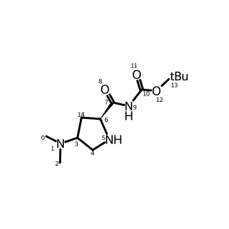 CN(C)C1CN[C@H](C(=O)NC(=O)OC(C)(C)C)C1